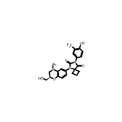 CC(C)N1C[C@H](CO)Oc2ccc(N3C(=S)N(c4ccc(C#N)c(C(F)(F)F)c4)C(=O)C34CCC4)cc21